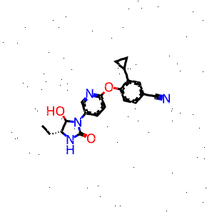 CC[C@H]1NC(=O)N(c2ccc(Oc3ccc(C#N)cc3C3CC3)nc2)C1O